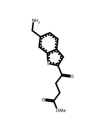 COC(=O)CCC(=O)c1cc2ccc(CN)cc2s1